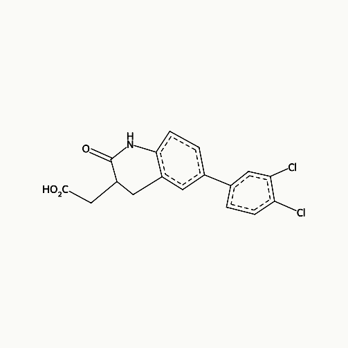 O=C(O)CC1Cc2cc(-c3ccc(Cl)c(Cl)c3)ccc2NC1=O